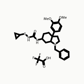 COc1ccc(C23CCC(NC(=O)NSC4CC4)CC2N(Cc2ccccc2)CC3)cc1OC.O=C(O)C(F)(F)F